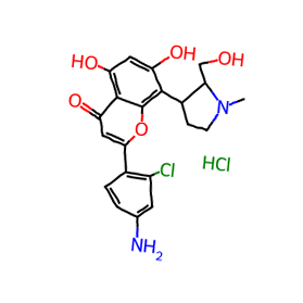 CN1CCC(c2c(O)cc(O)c3c(=O)cc(-c4ccc(N)cc4Cl)oc23)C1CO.Cl